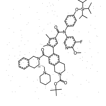 COc1ncc(N(C(=O)c2cc(-c3cc4c(cc3C(=O)N3Cc5ccccc5C[C@H]3CN3CCCCC3)CN(C(=O)OC(C)(C)C)CC4)n(C)c2C)c2ccc(O[Si](C(C)C)(C(C)C)C(C)C)cc2)cc1F